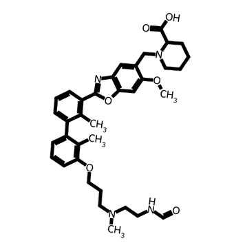 COc1cc2oc(-c3cccc(-c4cccc(OCCCN(C)CCNC=O)c4C)c3C)nc2cc1CN1CCCCC1C(=O)O